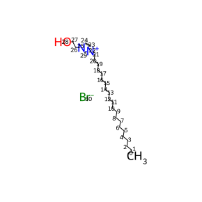 CCCCCCCCCCCCCCCCCCCCCC[n+]1ccn(CCO)c1.[Br-]